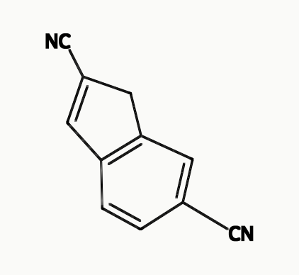 N#CC1=Cc2ccc(C#N)cc2C1